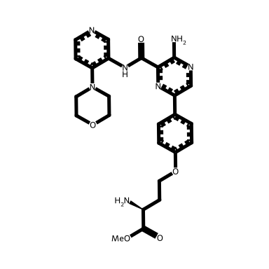 COC(=O)[C@@H](N)CCOc1ccc(-c2cnc(N)c(C(=O)Nc3cnccc3N3CCOCC3)n2)cc1